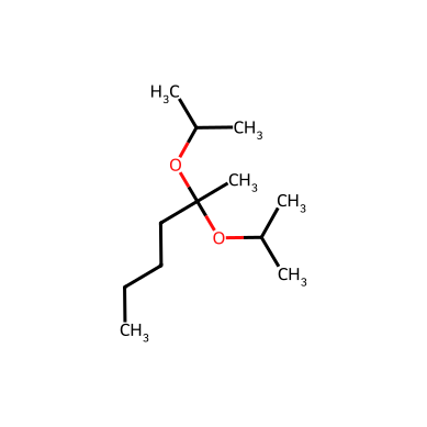 CCCCC(C)(OC(C)C)OC(C)C